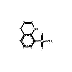 NS(=O)(=O)c1cccc2c1NC=CC2